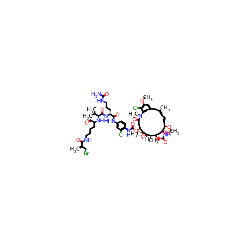 C=C(CBr)C(=O)NCCCCC(C=O)N[C@H](C(=O)N[C@@H](CCCNC(N)=O)C(=O)Nc1ccc(NC(=O)O[C@H]2CC(=O)N(C)c3cc(cc(OC)c3Cl)C/C(C)=C/C=C/[C@@H](OC)[C@@]3(O)C[C@H](OC(=O)N3)[C@@H](C)[C@@H]3O[C@@]23C)c(Cl)c1)C(C)C